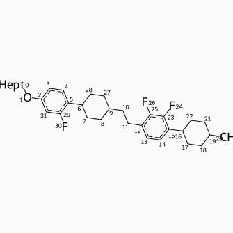 CCCCCCCOc1ccc(C2CCC(CCc3ccc(C4CCC(C)CC4)c(F)c3F)CC2)c(F)c1